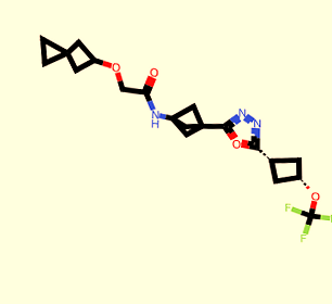 O=C(COC1CC2(CC2)C1)NC12CC(c3nnc([C@H]4C[C@@H](OC(F)(F)F)C4)o3)(C1)C2